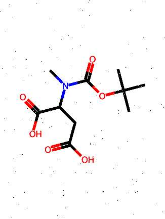 CN(C(=O)OC(C)(C)C)C(CC(=O)O)C(=O)O